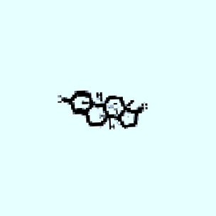 C[C@]12C=CC(=O)C=C1CC[C@@H]1[C@@H]2CC[C@]2(C)C(=O)CC[C@]12O